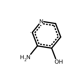 Nc1[c]nccc1O